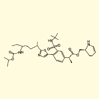 CCC(CCC(C)c1ncc(-c2ccc([C@H](C)C(=O)OC[C@@H]3CCC=CN3)cc2S(=O)(=O)NC(C)(C)C)s1)NC(=O)OC(C)C